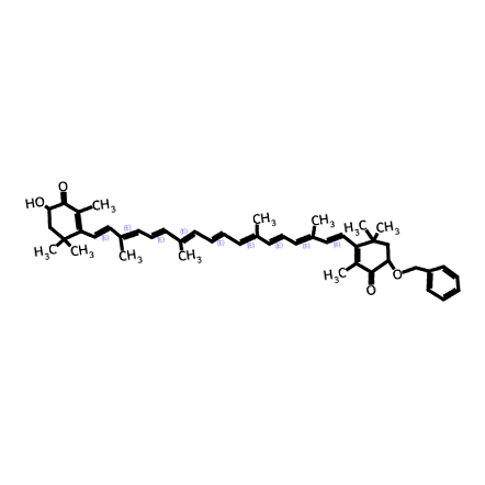 CC1=C(/C=C/C(C)=C/C=C/C(C)=C/C=C/C=C(C)/C=C/C=C(C)/C=C/C2=C(C)C(=O)C(OCc3ccccc3)CC2(C)C)C(C)(C)CC(O)C1=O